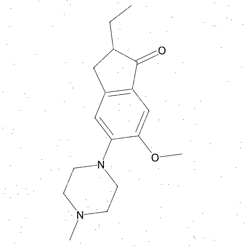 CCC1Cc2cc(N3CCN(C)CC3)c(OC)cc2C1=O